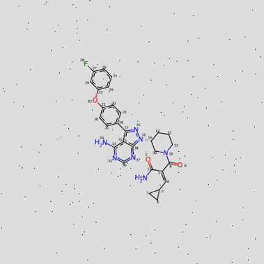 NC(=O)C(=CC1CC1)C(=O)N1CCC[C@@H](n2nc(-c3ccc(Oc4cccc(F)c4)cc3)c3c(N)ncnc32)C1